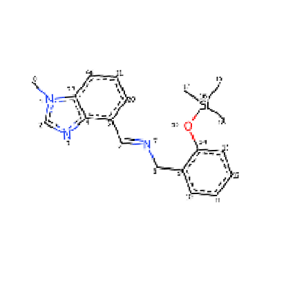 Cn1cnc2c(/C=N/Cc3ccccc3O[Si](C)(C)C)cccc21